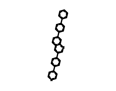 c1ccc(-c2ccc(-c3ccc4cc(-c5ccc(-c6ccncc6)cc5)cnc4c3)cc2)cc1